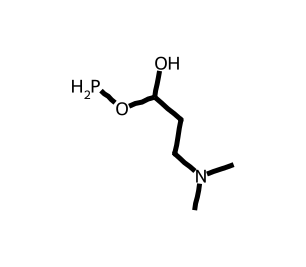 CN(C)CCC(O)OP